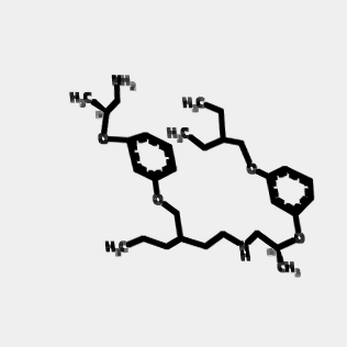 CCCC(CCNC[C@H](C)Oc1cccc(OCC(CC)CC)c1)COc1cccc(O[C@@H](C)CN)c1